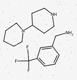 C1CCN(C2CCNCC2)CC1.NCc1cccc(C(F)(F)F)c1